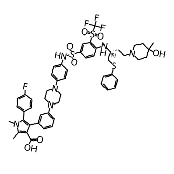 Cc1c(C(=O)O)c(-c2cccc(N3CCN(c4ccc(NS(=O)(=O)c5ccc(N[C@H](CCN6CCC(C)(O)CC6)CSc6ccccc6)c(S(=O)(=O)C(F)(F)F)c5)cc4)CC3)c2)c(-c2ccc(F)cc2)n1C